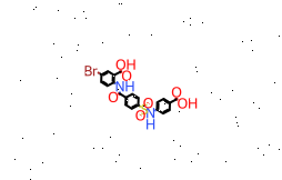 O=C(O)c1ccc(NS(=O)(=O)c2ccc(C(=O)Nc3ccc(Br)cc3C(=O)O)cc2)cc1